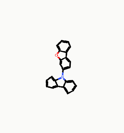 c1ccc2c(c1)oc1cc(-n3c4ccccc4c4ccccc43)ccc12